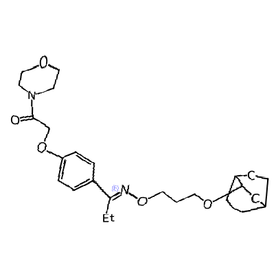 CC/C(=N\OCCCOC1CC2CCC1CC2)c1ccc(OCC(=O)N2CCOCC2)cc1